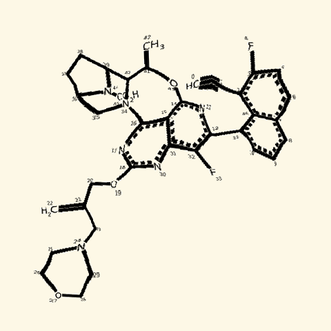 C#Cc1c(F)ccc2cccc(-c3nc4c5c(nc(OCC(=C)CN6CCOCC6)nc5c3F)N3CC5CCC(C3C(C)O4)N5C(=O)O)c12